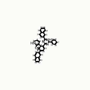 CC12OC3=C(C=CCN3)C1C(C1=NC(c3ccccc3)NC(c3ccc4ccccc4c3)=N1)=CC=C2c1ccc2ccccc2c1